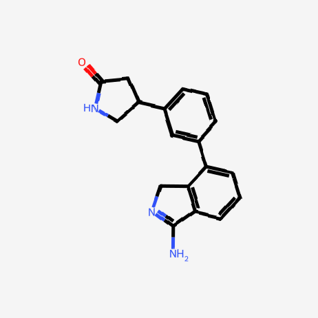 NC1=NCc2c1cccc2-c1cccc(C2CNC(=O)C2)c1